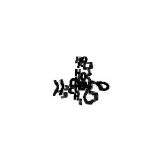 CC(C)(C)NC(=O)O[C@@H](Cc1ccc(O)c(F)c1)C(=O)Nc1ccccc1